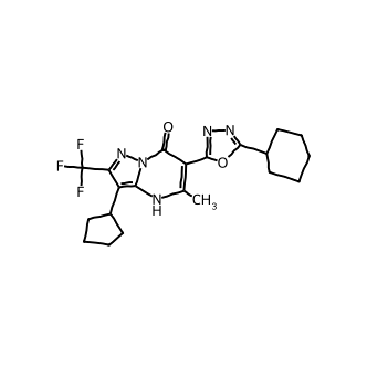 Cc1[nH]c2c(C3CCCC3)c(C(F)(F)F)nn2c(=O)c1-c1nnc(C2CCCCC2)o1